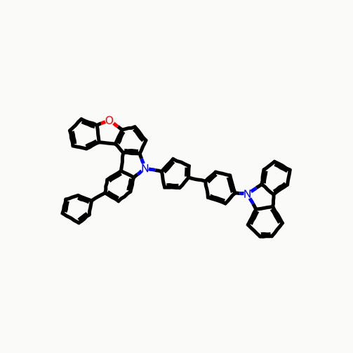 c1ccc(-c2ccc3c(c2)c2c4c(ccc2n3-c2ccc(-c3ccc(-n5c6ccccc6c6ccccc65)cc3)cc2)oc2ccccc24)cc1